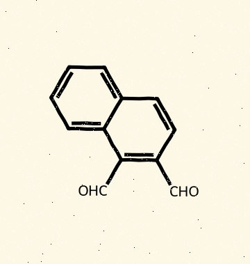 O=Cc1ccc2ccccc2c1C=O